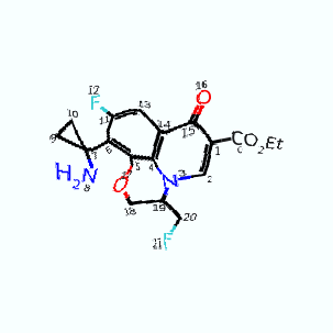 CCOC(=O)c1cn2c3c(c(C4(N)CC4)c(F)cc3c1=O)OCC2CF